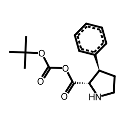 CC(C)(C)OC(=O)OC(=O)[C@H]1NCC[C@@H]1c1ccccc1